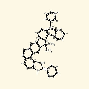 CC1(C)c2cc3c(ccc4ccc5c(c43)NC(c3ccccc3)S5)cc2-c2ccc3c(c21)c1ccccc1n3-c1ccccc1